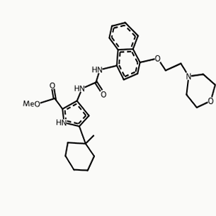 COC(=O)c1[nH]c(C2(C)CCCCC2)cc1NC(=O)Nc1ccc(OCCN2CCOCC2)c2ccccc12